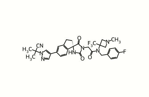 CN1CC(N(Cc2ccc(F)cc2)C(=O)CN2C(=O)N[C@]3(CCc4cc(-c5cnn(C(C)(C)C#N)c5)ccc43)C2=O)(C(F)(F)F)C1